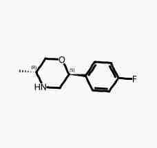 C[C@@H]1CO[C@@H](c2ccc(F)cc2)CN1